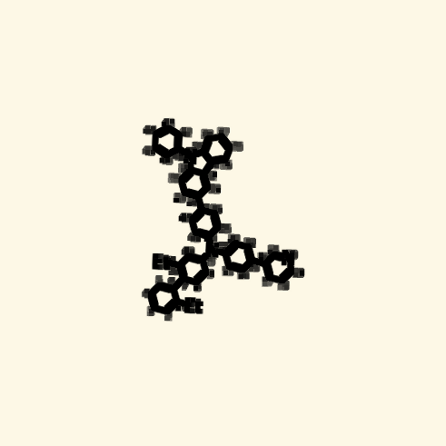 CCc1ccccc1-c1ccc(N(c2ccc(-c3cccnc3)cc2)c2ccc(-c3ccc4c(c3)c3ccccc3n4-c3ccccc3)cc2)cc1CC